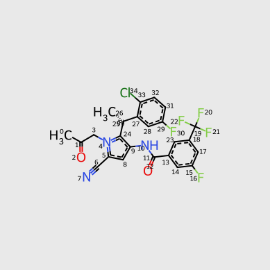 CC(=O)Cn1c(C#N)cc(NC(=O)c2cc(F)cc(C(F)(F)F)c2)c1[C@H](C)c1cc(F)ccc1Cl